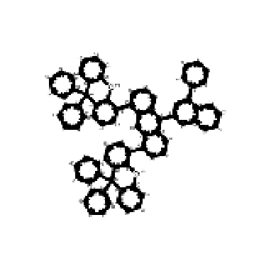 c1ccc(-c2cc(-c3c4cccc(-c5cccc6c5Oc5ccccc5C6(c5ccccc5)c5ccccc5)c4cc4c(-c5cccc6c5Oc5ccccc5C6(c5ccccc5)c5ccccc5)cccc34)cc3ccccc23)cc1